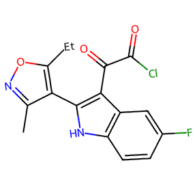 CCc1onc(C)c1-c1[nH]c2ccc(F)cc2c1C(=O)C(=O)Cl